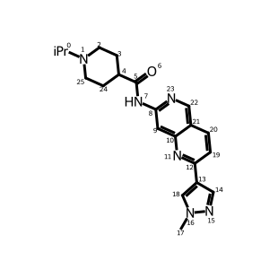 CC(C)N1CCC(C(=O)Nc2cc3nc(-c4cnn(C)c4)ccc3cn2)CC1